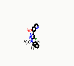 CN(c1ccc(-c2cc3ncccc3cc2O)nn1)[C@H]1C[C@@H]2CC[C@@H](C2)[C@H]1F